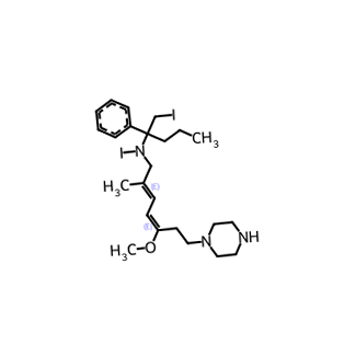 CCCC(CI)(c1ccccc1)N(I)C/C(C)=C/C=C(\CCN1CCNCC1)OC